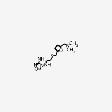 CN(C)Cc1ccc(CSCCNN2CON=C2N)o1